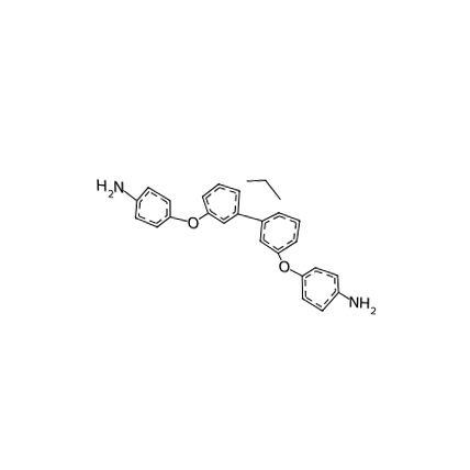 CCC.Nc1ccc(Oc2cccc(-c3cccc(Oc4ccc(N)cc4)c3)c2)cc1